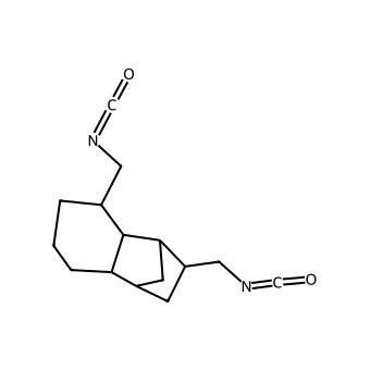 O=C=NCC1CC2CC1C1C(CN=C=O)CCCC21